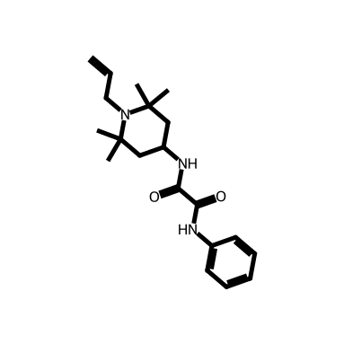 C=CCN1C(C)(C)CC(NC(=O)C(=O)Nc2ccccc2)CC1(C)C